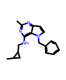 Cc1nc(NCC2CC2C)c2c(ccn2Cc2ccccc2)n1